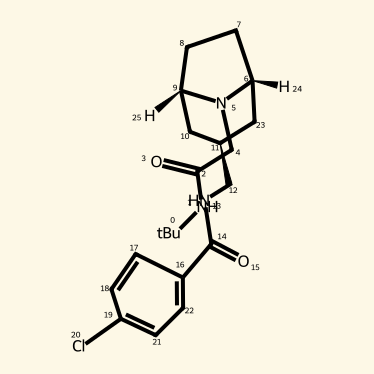 CC(C)(C)NC(=O)CN1[C@@H]2CC[C@H]1C[C@H](CNC(=O)c1ccc(Cl)cc1)C2